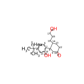 CCCCCCC(C)(C)c1ccc(C2CC(=O)CCC2CCCO)c(O)c1